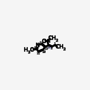 C=C/C=c1\c(=C)oc2nc(C)ccc12